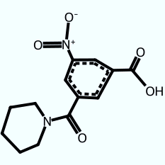 O=C(O)c1cc(C(=O)N2CCCCC2)cc([N+](=O)[O-])c1